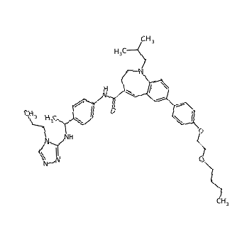 CCCCOCCOc1ccc(-c2ccc3c(c2)C=C(C(=O)Nc2ccc(C(C)Nc4nncn4CCC)cc2)CCN3CC(C)C)cc1